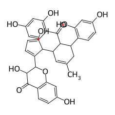 CC1=CC(C2C(O)=CC=C2C2Oc3cc(O)ccc3C(=O)C2O)C(C(=O)c2ccc(O)cc2O)C(c2ccc(O)cc2O)C1